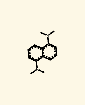 CN(C)c1cccc2c(N(C)C)cccc12